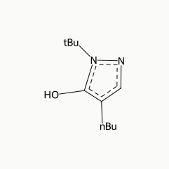 CCCCc1cnn(C(C)(C)C)c1O